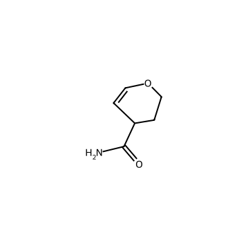 NC(=O)C1C=COCC1